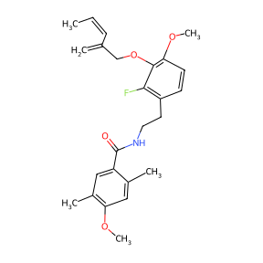 C=C(/C=C\C)COc1c(OC)ccc(CCNC(=O)c2cc(C)c(OC)cc2C)c1F